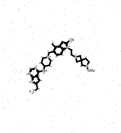 CSN1CCC2(CN(CCn3c(C#N)cc4c(C)c(CN5CCC(Nc6ncnc7sc(CC(F)(F)F)cc67)CC5)ccc43)C2)C1